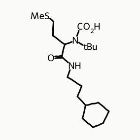 CSCCC(C(=O)NCCCC1CCCCC1)N(C(=O)O)C(C)(C)C